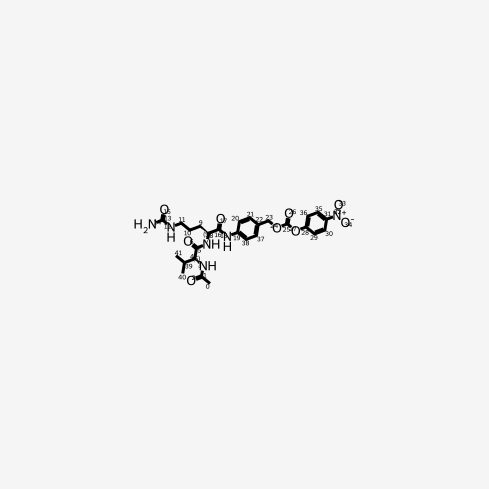 CC(=O)N[C@H](C(=O)N[C@@H](CCCNC(N)=O)C(=O)Nc1ccc(COC(=O)Oc2ccc([N+](=O)[O-])cc2)cc1)C(C)C